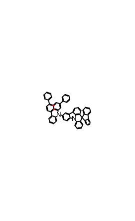 c1ccc(-c2ccc(-c3ccccc3N(c3cccc(-c4ccccc4)c3)c3ccc4c(c3)c3cccc5c3n4-c3ccccc3C53c4ccccc4-c4ccccc43)cc2)cc1